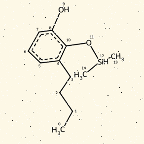 CCCCc1cccc(O)c1O[SiH](C)C